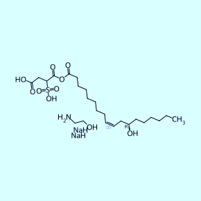 CCCCCC[C@@H](O)C/C=C\CCCCCCCC(=O)OC(=O)C(CC(=O)O)S(=O)(=O)O.NCCO.[NaH].[NaH]